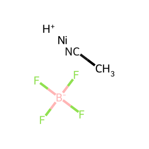 CC#N.F[B-](F)(F)F.[H+].[Ni]